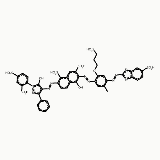 Cc1cc(N=Nc2c(S(=O)(=O)O)cc3c(S(=O)(=O)O)c(N=Nc4c(-c5ccccc5)nn(-c5ccc(S(=O)(=O)O)cc5S(=O)(=O)O)c4O)ccc3c2O)c(OCCCS(=O)(=O)O)cc1N=Nc1nc2ccc(S(=O)(=O)O)cc2s1